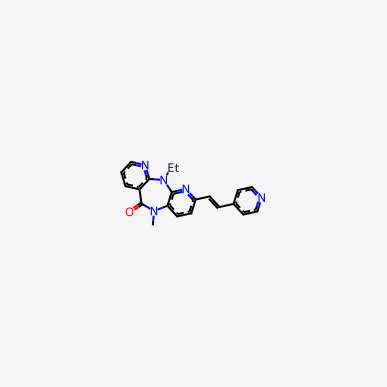 CCN1c2ncccc2C(=O)N(C)c2ccc(C=Cc3ccncc3)nc21